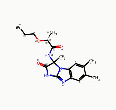 Cc1cc2nc3n(c2cc1C)C(NC(=O)[C@@H](C)OCCC(C)C)(C(F)(F)F)C(=O)N3